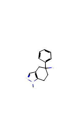 CC(C)n1ncc2c1CCC(N)(c1ccccc1)C2